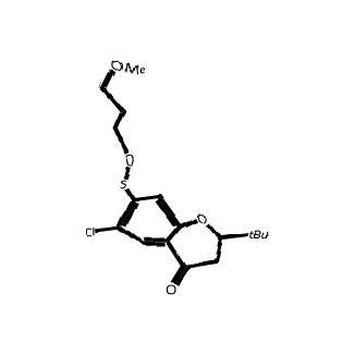 COCCCOSc1cc2c(cc1Cl)C(=O)CC(C(C)(C)C)O2